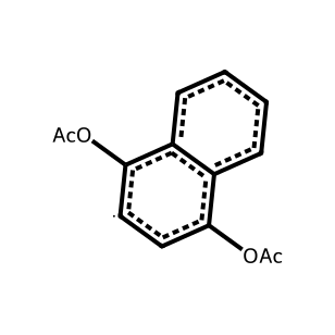 CC(=O)Oc1[c]cc(OC(C)=O)c2ccccc12